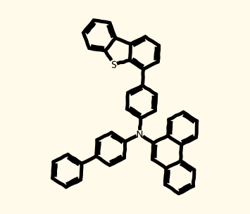 c1ccc(-c2ccc(N(c3ccc(-c4cccc5c4sc4ccccc45)cc3)c3cc4ccccc4c4ccccc34)cc2)cc1